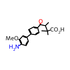 COc1cc(-c2ccc(C(=O)C(C)C(C)(C)C(=O)O)cc2)ccc1N